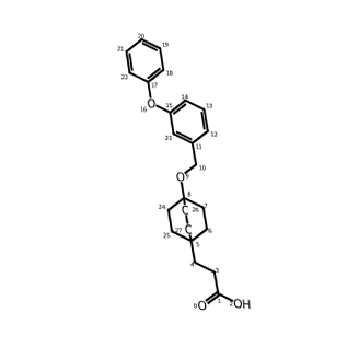 O=C(O)CCC12CCC(OCc3cccc(Oc4ccccc4)c3)(CC1)CC2